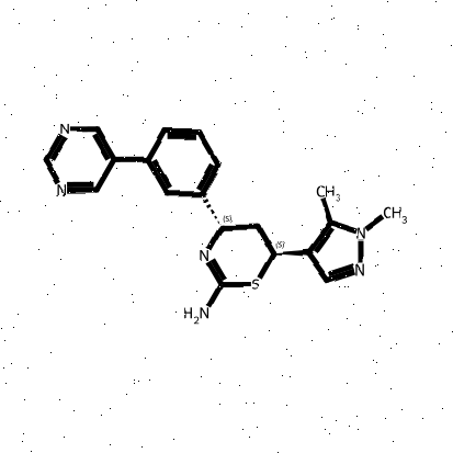 Cc1c([C@@H]2C[C@@H](c3cccc(-c4cncnc4)c3)N=C(N)S2)cnn1C